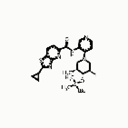 C[C@H]1CN(c2ccncc2NC(=O)c2ccc3sc(C4CC4)nc3n2)C[C@@H](I)[C@@H]1O[Si](C)(C)C(C)(C)C